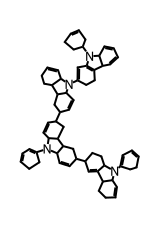 C1=CCCC(N2C3CCC(C4C=CC5C(C4)C4CC(C6C=CC7C(C6)C6CCC=CC6N7C6=CC7=C(CC6)C6C=CC=CC6N7C6CC=CCC6)C=CC4N5C4=CC=CCC4)C=C3C3CCC=CC32)=C1